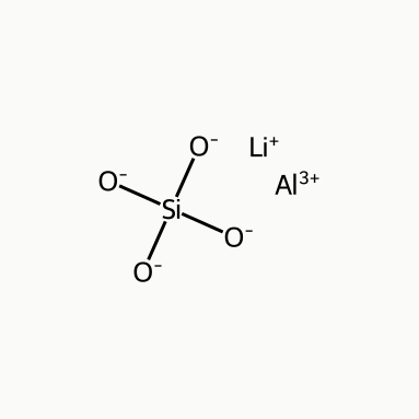 [Al+3].[Li+].[O-][Si]([O-])([O-])[O-]